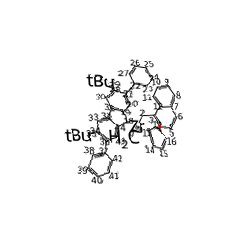 [CH2]=[Zr]([CH2]c1cccc2ccccc12)([C]1=CC=CC1)[CH]1c2cc(-c3ccccc3)c(C(C)(C)C)cc2-c2cc(C(C)(C)C)c(-c3ccccc3)cc21